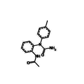 CC(=O)Nc1ccccc1N(C(N)=O)c1ccc(C)cc1